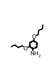 CCCCOc1ccc(N)c(OCCCC)c1